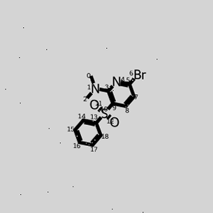 CN(C)c1nc(Br)ccc1S(=O)(=O)c1ccccc1